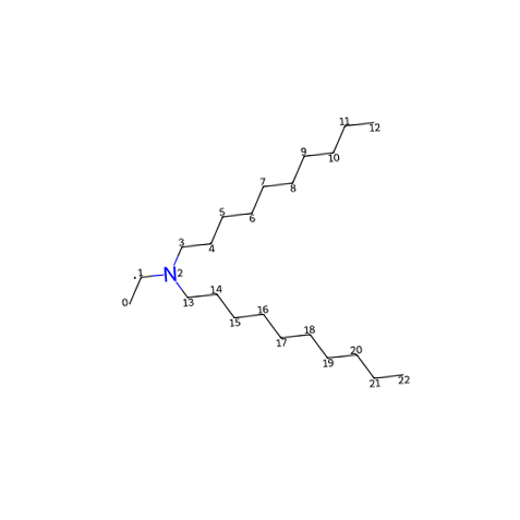 C[CH]N(CCCCCCCCCC)CCCCCCCCCC